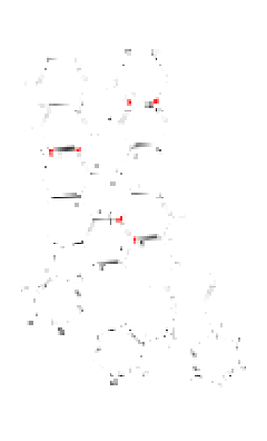 c1ccc(-n2c3ccccc3c3ccc(-c4ccc(N(c5ccccc5-c5cccc6c5oc5ccccc56)c5ccccc5-c5cccc6cccc(C7CCCCC7)c56)cc4)cc32)cc1